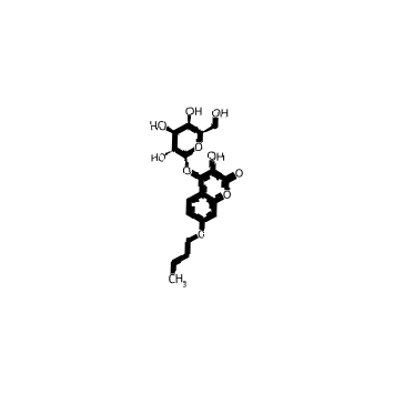 CCCCOc1ccc2c(O[C@@H]3O[C@H](CO)[C@H](O)[C@H](O)[C@H]3O)c(O)c(=O)oc2c1